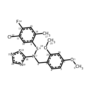 COc1ccc(CN(Sc2cc(Cl)c(F)cc2C)c2ncns2)c(OC)c1